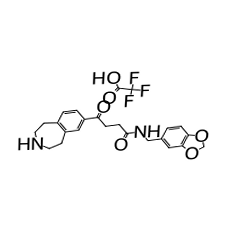 O=C(CCC(=O)c1ccc2c(c1)CCNCC2)NCc1ccc2c(c1)OCO2.O=C(O)C(F)(F)F